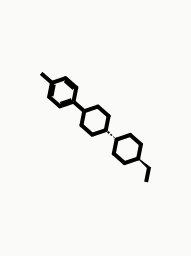 CC[C@H]1CC[C@H](C2CCC(c3ccc(C)cc3)CC2)CC1